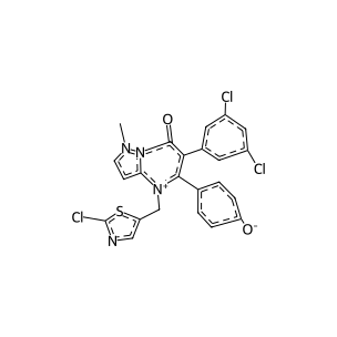 Cn1ccc2n1c(=O)c(-c1cc(Cl)cc(Cl)c1)c(-c1ccc([O-])cc1)[n+]2Cc1cnc(Cl)s1